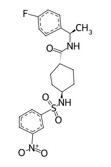 C[C@@H](NC(=O)[C@H]1CC[C@H](NS(=O)(=O)c2cccc([N+](=O)[O-])c2)CC1)c1ccc(F)cc1